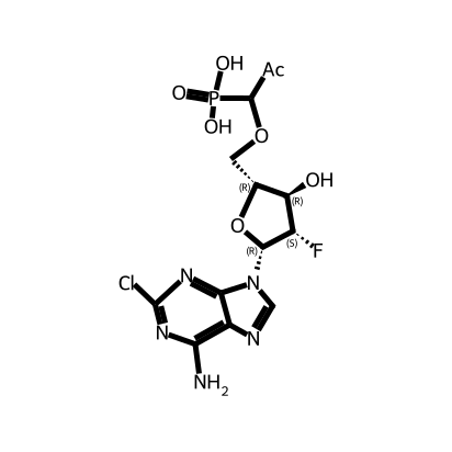 CC(=O)C(OC[C@H]1O[C@@H](n2cnc3c(N)nc(Cl)nc32)[C@@H](F)[C@@H]1O)P(=O)(O)O